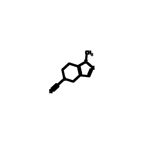 Cn1ncc2c1CCB(C#N)C2